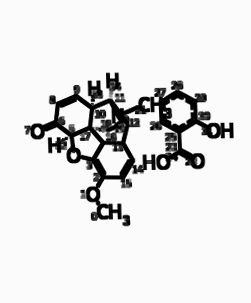 COC1=C2O[C@H]3C(=O)C=C[C@H]4[C@H]5CC(C=C1)C2[C@@]34CCN5C.O=C(O)c1ccccc1O